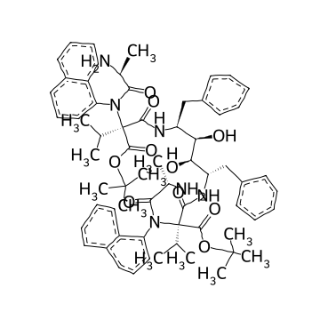 CC(C)[C@](C(=O)N[C@@H](Cc1ccccc1)[C@@H](O)[C@H](O)[C@H](Cc1ccccc1)NC(=O)[C@](C(=O)OC(C)(C)C)(C(C)C)N(C(=O)[C@H](C)N)c1cccc2ccccc12)(C(=O)OC(C)(C)C)N(C(=O)[C@H](C)N)c1cccc2ccccc12